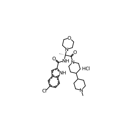 CN1CCC(C2CCN(C(=O)[C@@](C)(NC(=O)c3cc4cc(Cl)ccc4[nH]3)N3CCOCC3)CC2)CC1.Cl